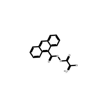 C=C(CC)C(=O)OOC(=O)c1c2ccccc2cc2ccccc12